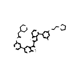 O=C(CC1CCNCC1)Nc1cncc(-c2cnc3[nH]nc(-c4cc5c(-c6cc(F)cc(OCCN7CCCC7)c6)nccc5[nH]4)c3c2)c1